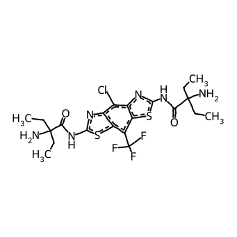 CCC(N)(CC)C(=O)Nc1nc2c(Cl)c3nc(NC(=O)C(N)(CC)CC)sc3c(C(F)(F)F)c2s1